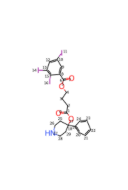 O=C(CCCOC(=O)c1cc(I)cc(I)c1I)OC1(c2ccccc2)CCNCC1